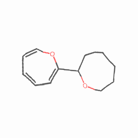 C1=CC=C(C2CCCCCO2)OC=C1